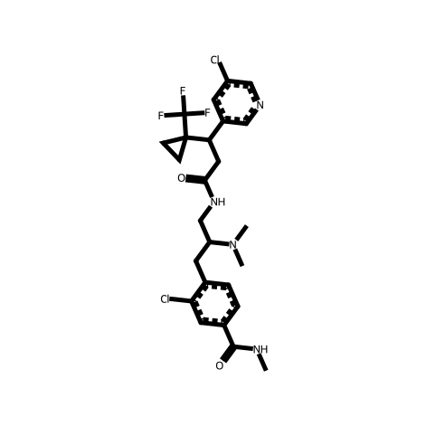 CNC(=O)c1ccc(CC(CNC(=O)CC(c2cncc(Cl)c2)C2(C(F)(F)F)CC2)N(C)C)c(Cl)c1